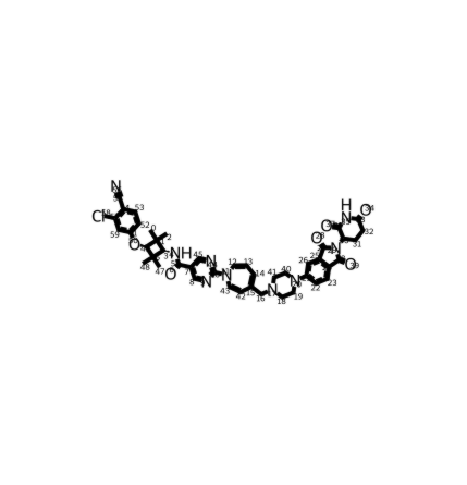 CC1(C)[C@H](NC(=O)c2cnc(N3C=CC=C(CN4CCN(c5ccc6c(c5)C(=O)N(C5CCC(=O)NC5=O)C6=O)CC4)C=C3)nc2)C(C)(C)[C@H]1Oc1ccc(C#N)c(Cl)c1